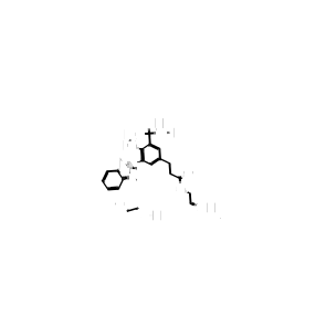 C=CCOC(=O)CCc1cc(-n2nc3ccccc3n2)c(O)c(C(C)(C)C)c1.OCCO